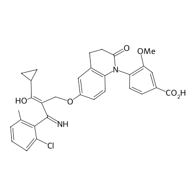 COc1cc(C(=O)O)ccc1N1C(=O)CCc2cc(OC/C(C(=N)c3c(C)cccc3Cl)=C(/O)C3CC3)ccc21